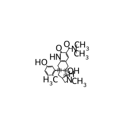 Cc1ccc(O)cc1[C@@]12Cc3[nH]c(=O)c(C(=O)N(C)C)cc3C[C@@]1(O)[C@H]1C(CN1C)C2